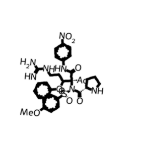 COc1ccc(S(=O)(=O)N(C(=O)[C@@H]2CCCN2)[C@](C(C)=O)(C(=O)Nc2ccc([N+](=O)[O-])cc2)C(CCNC(=N)N)Oc2ccccc2)cc1